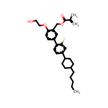 C=C(C)C(=O)OCc1cc(-c2ccc(C3CCC(CCCCC)CC3)cc2F)ccc1OCCO